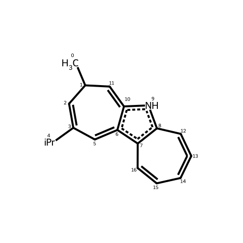 CC1C=C(C(C)C)C=c2c3c([nH]c2=C1)C=C=CC=C3